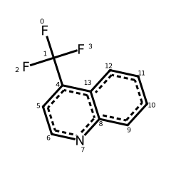 FC(F)(F)c1ccnc2ccccc12